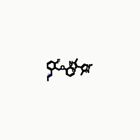 C/C=C/c1cccc(F)c1COc1cccn2c(-c3cn(C)nc3C)c(C)nc12